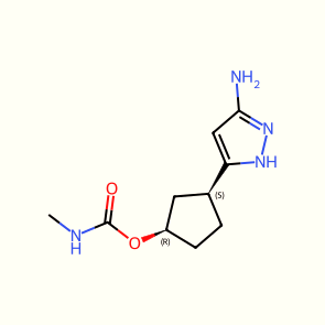 CNC(=O)O[C@@H]1CC[C@H](c2cc(N)n[nH]2)C1